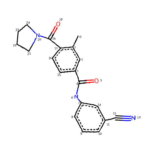 Cc1cc(C(=O)[N]c2cccc(C#N)c2)ccc1C(=O)N1CCCC1